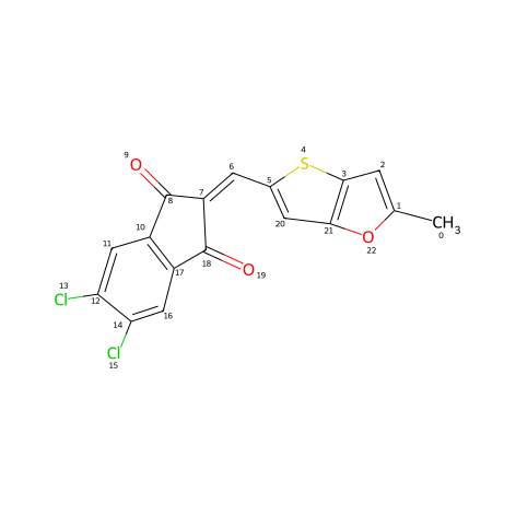 Cc1cc2sc(C=C3C(=O)c4cc(Cl)c(Cl)cc4C3=O)cc2o1